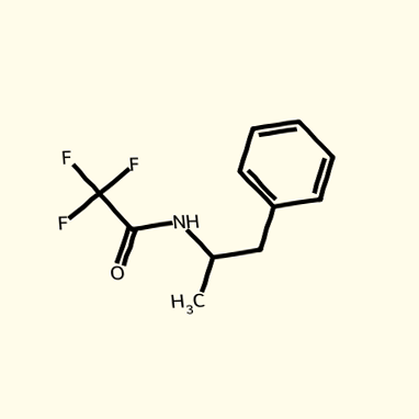 CC(Cc1ccccc1)NC(=O)C(F)(F)F